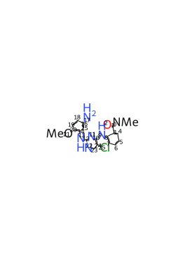 CNC(=O)c1ccccc1Nc1nc(Nc2cc(N)ccc2OC)ncc1Cl